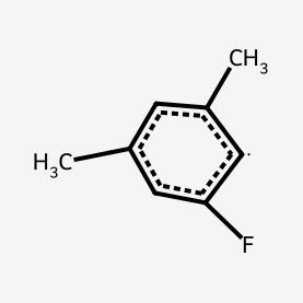 Cc1[c]c(F)cc(C)c1